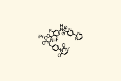 CC(C)OC(=O)[C@H](Cc1ccc(-n2c(=O)ccn(C)c2=O)cc1)NC(=O)c1c(F)cc(NS(=O)(=O)c2ccc(-c3ncccn3)cn2)cc1F